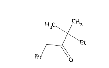 CCC(C)(C)C(=O)CC(C)C